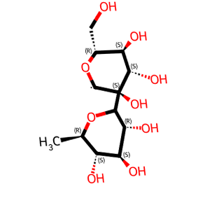 C[C@H]1OC([C@]2(O)[CH]O[C@H](CO)[C@@H](O)[C@@H]2O)[C@H](O)[C@@H](O)[C@@H]1O